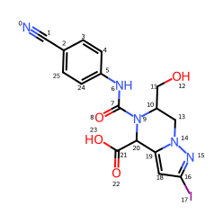 N#Cc1ccc(NC(=O)N2C(CO)Cn3nc(I)cc3C2C(=O)O)cc1